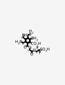 BCc1c(B)c(C(=O)O)c(C(=O)OCC(=O)OCC(F)(F)S(=O)(=O)O)c(CB)c1CB